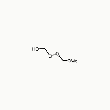 COCOOCO